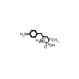 C[C@@H](C[C@@H](N)Cc1ccc(N)cc1)P(=O)(O)O